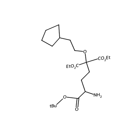 CCOC(=O)C(CCC(N)C(=O)OC(C)(C)C)(OCCC1CCCC1)C(=O)OCC